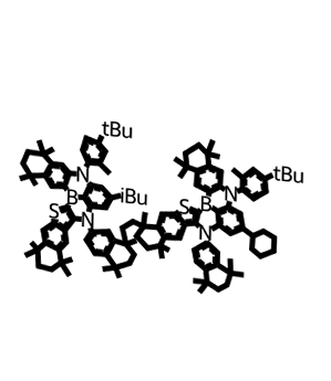 CCC(C)c1cc2c3c(c1)N(c1ccc4c(c1)C(C)(CCC1(C)CCC(C)(C)c5cc6c7c(sc6cc51)B1c5cc6c(cc5N(c5ccc(C(C)(C)C)cc5C)c5cc(C8CCCCC8)cc(c51)N7c1ccc5c(c1)C(C)(C)CCC5(C)C)C(C)(C)CCC6(C)C)CCC4(C)C)c1c(sc4cc5c(cc14)C(C)(C)CCC5(C)C)B3c1cc3c(cc1N2c1ccc(C(C)(C)C)cc1C)C(C)(C)CCC3(C)C